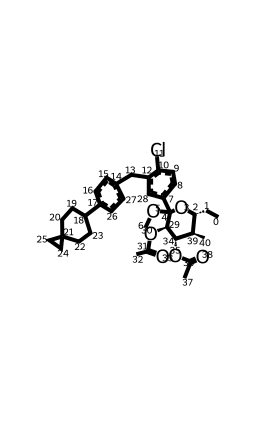 CC[C@H]1OC(OC)(c2ccc(Cl)c(Cc3ccc(C4CCC5(CC4)CC5)cc3)c2)[C@H](OC(C)=O)[C@@H](OC(C)=O)[C@@H]1C